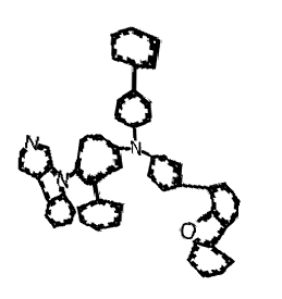 c1ccc(-c2ccc(N(c3ccc(-c4cccc5c4oc4ccccc45)cc3)c3ccc(-n4c5ccccc5c5ccncc54)c(-c4ccccc4)c3)cc2)cc1